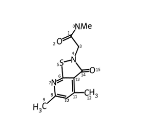 CNC(=O)Cn1sc2nc(C)cc(C)c2c1=O